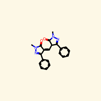 CN1N=C(c2ccccc2)/C(=C/C2C(=O)N(C)N=C2c2ccccc2)C1=O